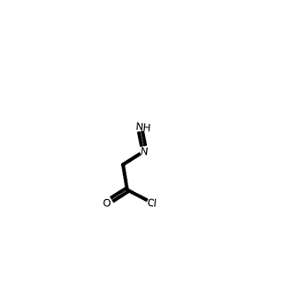 N=NCC(=O)Cl